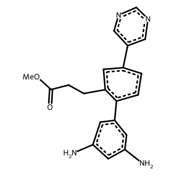 COC(=O)CCc1cc(-c2cncnc2)ccc1-c1cc(N)cc(N)c1